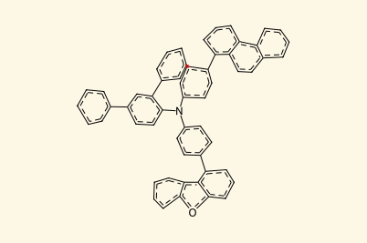 c1ccc(-c2ccc(N(c3ccc(-c4cccc5c4ccc4ccccc45)cc3)c3ccc(-c4cccc5oc6ccccc6c45)cc3)c(-c3ccccc3)c2)cc1